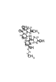 CCCCNc1ncc(-c2ccc(C(=O)N(C)C3CCN(C)CC3)cn2)c(N[C@H]2CC[C@H](O)CC2)n1